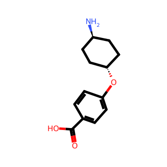 N[C@H]1CC[C@H](Oc2ccc(C(=O)O)cc2)CC1